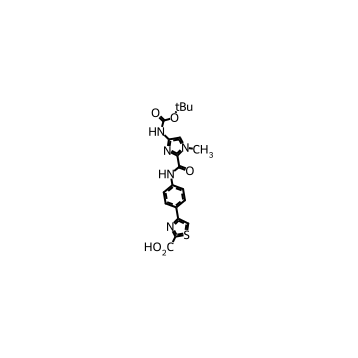 Cn1cc(NC(=O)OC(C)(C)C)nc1C(=O)Nc1ccc(-c2csc(C(=O)O)n2)cc1